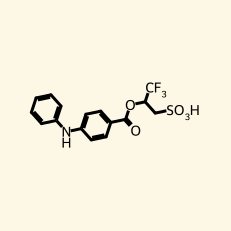 O=C(OC(CS(=O)(=O)O)C(F)(F)F)c1ccc(Nc2ccccc2)cc1